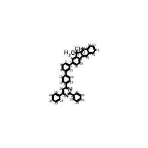 CC1(C)c2cc(-c3cccc(-c4ccc(-c5cc(-c6ccccc6)nc(-c6ccccc6)n5)cc4)c3)ccc2-c2cc3ccccc3cc21